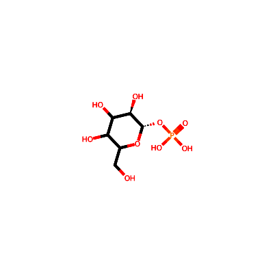 O=P(O)(O)O[C@@H]1OC(CO)C(O)C(O)[C@H]1O